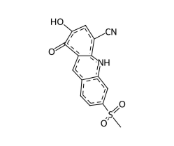 CS(=O)(=O)c1ccc2cc3c(=O)c(O)cc(C#N)c-3[nH]c2c1